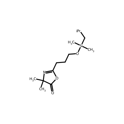 CC(C)C[Si](C)(C)OCCCC1=NC(C)(C)C(=O)O1